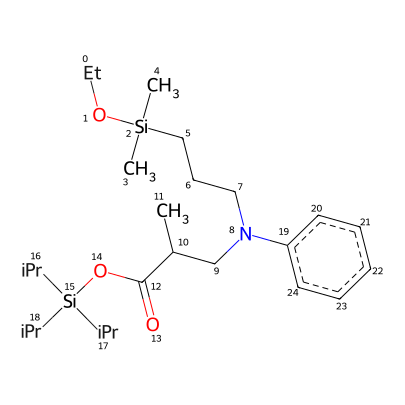 CCO[Si](C)(C)CCCN(CC(C)C(=O)O[Si](C(C)C)(C(C)C)C(C)C)c1ccccc1